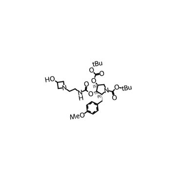 COc1ccc(C[C@@H]2[C@H](OC(=O)NCCN3CC(O)C3)[C@@H](OC(=O)OC(C)(C)C)CN2C(=O)OC(C)(C)C)cc1